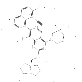 C#Cc1c(F)ccc2cccc(-c3ncc4c(N5CCC[C@@](C)(O)C5)nc(OC[C@@]56CCCN5C[C@H](F)C6)nc4c3F)c12